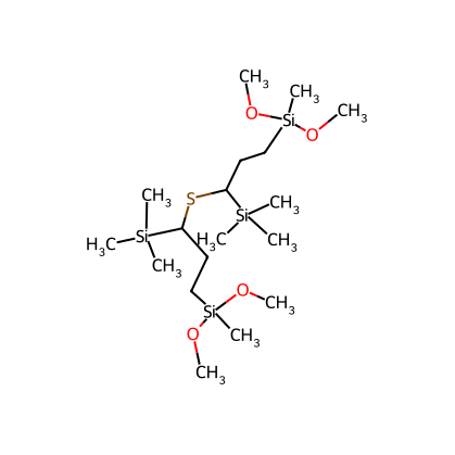 CO[Si](C)(CCC(SC(CC[Si](C)(OC)OC)[Si](C)(C)C)[Si](C)(C)C)OC